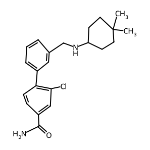 CC1(C)CCC(NCc2cccc(-c3ccc(C(N)=O)cc3Cl)c2)CC1